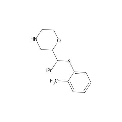 CC(C)C(Sc1ccccc1C(F)(F)F)C1CNCCO1